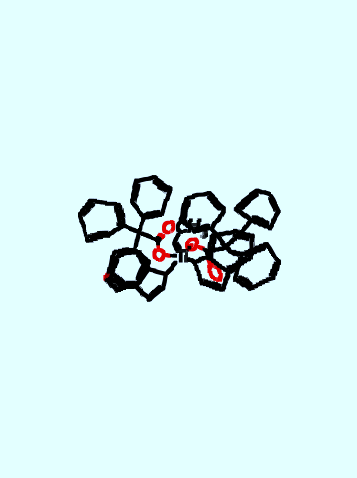 C[CH]=[Ti]([O]C(=O)C(c1ccccc1)(c1ccccc1)c1ccccc1)([O]C(=O)C(c1ccccc1)(c1ccccc1)c1ccccc1)([CH]1C=Cc2ccccc21)[CH]1C=Cc2ccccc21